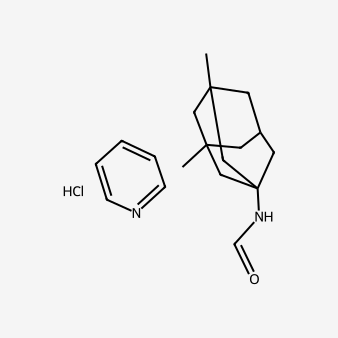 CC12CC3CC(C)(C1)CC(NC=O)(C3)C2.Cl.c1ccncc1